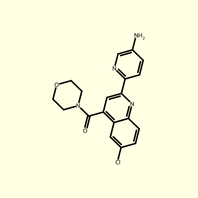 Nc1ccc(-c2cc(C(=O)N3CCOCC3)c3cc(Cl)ccc3n2)nc1